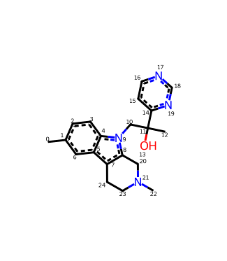 Cc1ccc2c(c1)c1c(n2CC(C)(O)c2ccncn2)CN(C)CC1